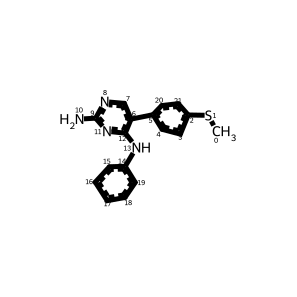 CSc1ccc(-c2cnc(N)nc2Nc2ccccc2)cc1